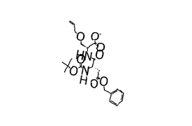 C=CCOC[C@H](NC(=O)[C@H](CC(=O)OCc1ccccc1)NC(=O)OC(C)(C)C)C(=O)OC